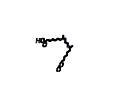 C/C(=C/CC/C=C(\C)CCCCCCOC=O)CCCCCCC(=O)O